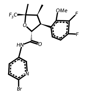 COc1c([C@H]2[C@H](C(=O)Nc3ccc(Br)nc3)O[C@@](C)(C(F)(F)F)[C@H]2C)ccc(F)c1F